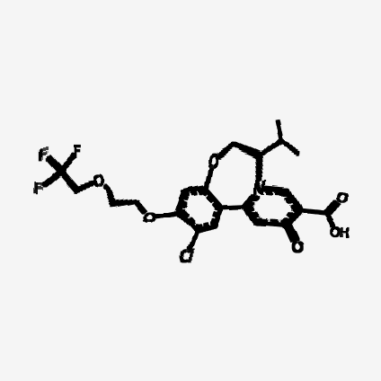 CC(C)[C@@H]1COc2cc(OCCOCC(F)(F)F)c(Cl)cc2-c2cc(=O)c(C(=O)O)cn21